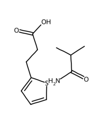 CC(C)C(N)=O.O=C(O)CCc1cccs1